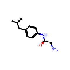 CC(C)Cc1ccc(NC(=O)CN)cc1